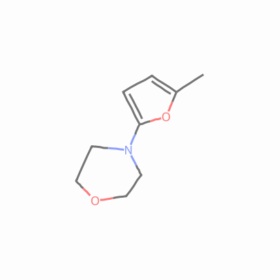 Cc1ccc(N2CCOCC2)o1